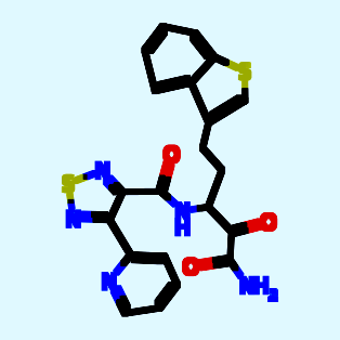 NC(=O)C(=O)C(CCc1csc2ccccc12)NC(=O)c1nsnc1-c1ccccn1